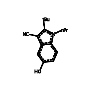 CCCn1c(C(C)(C)C)c(C#N)c2cc(O)ccc21